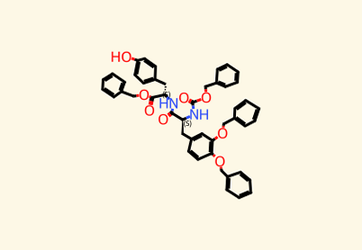 O=C(N[C@@H](Cc1ccc(OCc2ccccc2)c(OCc2ccccc2)c1)C(=O)N[C@@H](Cc1ccc(O)cc1)C(=O)OCc1ccccc1)OCc1ccccc1